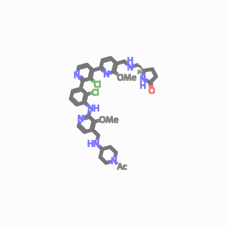 COc1nc(-c2ccnc(-c3cccc(Nc4nccc(CNC5CCN(C(C)=O)CC5)c4OC)c3Cl)c2Cl)ccc1CNC[C@@H]1CCC(=O)N1